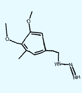 COc1cc(CNN=N)cc(C)c1OC